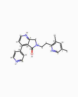 Cc1cnc(CCN2Cc3nccc(-c4ccncc4)c3C2=O)c(C)c1